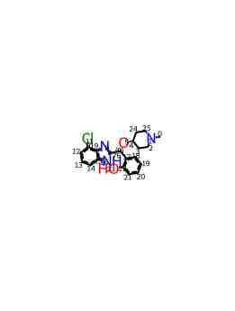 CN1CCC(O[C@@H](c2nc3c(Cl)cccc3[nH]2)c2ccccc2O)CC1